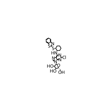 OC[C@H]1O[C@H](n2cnc3c(N[C@@H]4CCCC[C@@H]4Sc4nc5ccccc5s4)nc(Cl)nc32)[C@H](O)[C@@H]1O